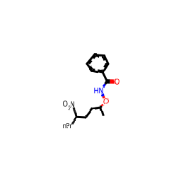 CCCC(CCC(C)ONC(=O)c1ccccc1)[N+](=O)[O-]